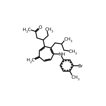 C=C1C=CC(Nc2ccc(C)c(Br)c2)=C(CC(C)CC)C(C(CC)CC(C)=O)=C1